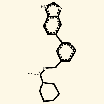 C[C@H](NCc1cccc(-c2ccc3[nH]cnc3c2)c1)C1CCCCC1